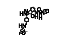 C=C[S+]([O-])CCNCc1ccc(-c2[nH]nc3c2C(=O)c2c(NC(=O)NN4CCOCC4)cccc2-3)cc1